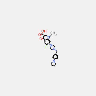 CCn1cc(C(=O)O)c(=O)c2cc(F)c(N3CCN(Cc4ccc(N5CCCC5)cc4)CC3)cc21